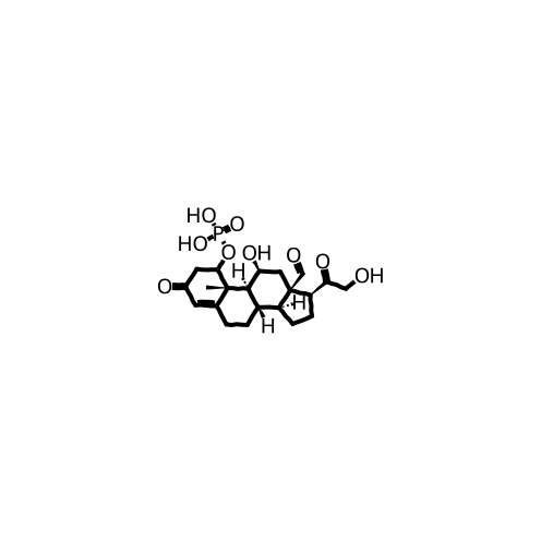 C[C@@]12C(=CC(=O)CC1OP(=O)(O)O)CC[C@@H]1[C@@H]2[C@@H](O)C[C@]2(C=O)[C@@H](C(=O)CO)CC[C@@H]12